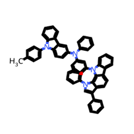 Cc1ccc(-n2c3ccccc3c3cc(N(c4ccccc4)c4cccc(-n5c6ccccc6c6ccc7c(-c8ccccc8)cn(-c8ccccc8)c7c65)c4)ccc32)cc1